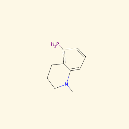 CN1CCCc2c(P)cccc21